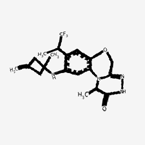 C=C1CC(C)(Nc2cc3c(cc2C(C)C(F)(F)F)OCC2=NNC(=O)C(C)N23)C1